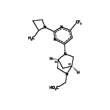 CC1CCN1c1nc(N2C[C@@H]3C[C@H]2CN3CC(=O)O)cc(C(F)(F)F)n1